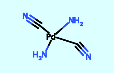 N#[C][Pd]([NH2])([NH2])[C]#N